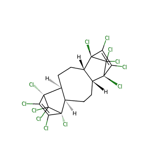 ClC1=C(Cl)[C@]2(Cl)[C@@H]3CC[C@@H]4[C@H](CC[C@@H]3[C@@]1(Cl)C2(Cl)Cl)[C@]1(Cl)C(Cl)=C(Cl)[C@@]4(Cl)C1(Cl)Cl